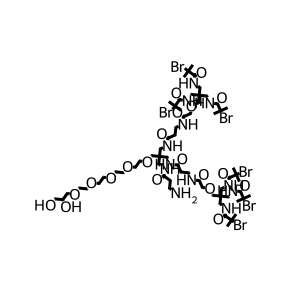 CC(C)(Br)C(=O)NCC(CNC(=O)C(C)(C)Br)(CNC(=O)C(C)(C)Br)COCC(=O)NCCC(=O)NCC(CNC(=O)CCN)(CNC(=O)CCNC(=O)COCC(CNC(=O)C(C)(C)Br)(CNC(=O)C(C)(C)Br)CNC(=O)C(C)(C)Br)COCCOCCOCCOCCOCC(O)CO